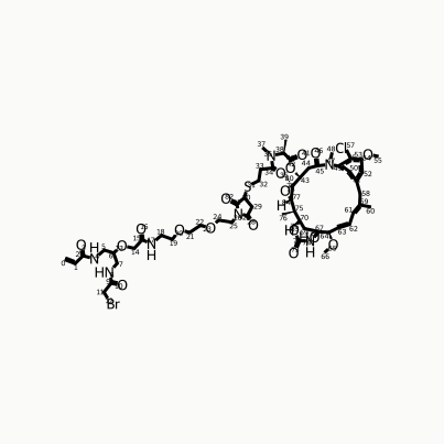 C=CC(=O)NCC(CNC(=O)CBr)OCC(=O)NCCOCCOCCN1C(=O)CC(SCCC(=O)N(C)[C@@H](C)C(=O)O[C@H]2CC(=O)N(C)c3cc(cc(OC)c3Cl)C/C(C)=C/C=C/[C@@H](OC)[C@@]3(O)C[C@H](OC(=O)N3)[C@@H](C)[C@@H]3O[C@@]23C)C1=O